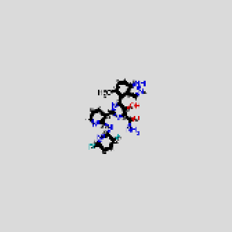 Cc1ccc2[nH]ncc2c1-c1nc(-c2cccnc2Nc2nc(F)ccc2F)nc(C(N)=O)c1O